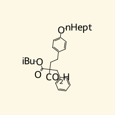 CCCCCCCOc1ccc(CCC(Cc2ccccc2)(C(=O)O)C(=O)OC(C)CC)cc1